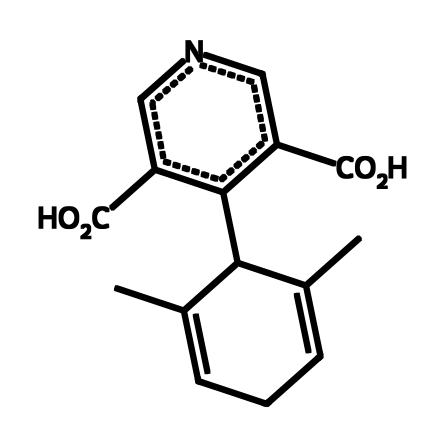 CC1=CCC=C(C)C1c1c(C(=O)O)cncc1C(=O)O